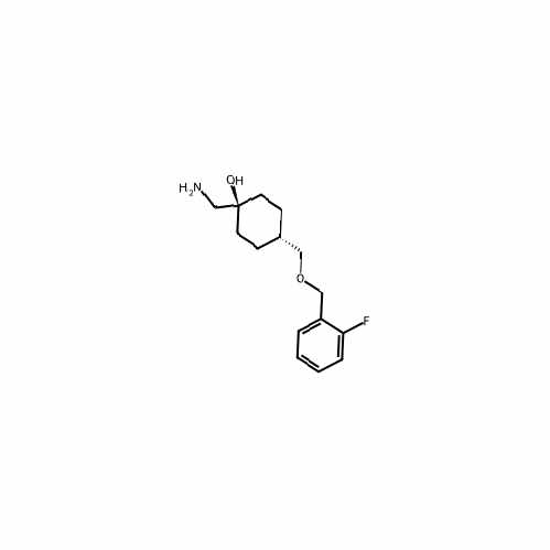 NC[C@]1(O)CC[C@H](COCc2ccccc2F)CC1